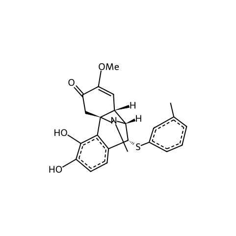 COC1=C[C@@H]2[C@@H]3[C@H](Sc4cccc(C)c4)c4ccc(O)c(O)c4[C@@]2(CC1=O)CN3C